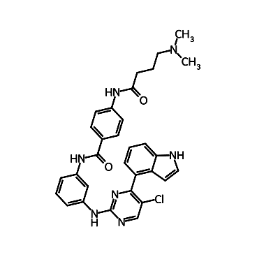 CN(C)CCCC(=O)Nc1ccc(C(=O)Nc2cccc(Nc3ncc(Cl)c(-c4cccc5[nH]ccc45)n3)c2)cc1